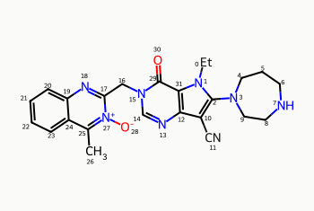 CCn1c(N2CCCNCC2)c(C#N)c2ncn(Cc3nc4ccccc4c(C)[n+]3[O-])c(=O)c21